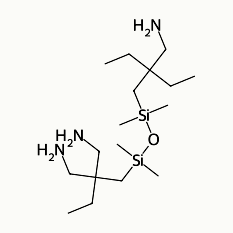 CCC(CC)(CN)C[Si](C)(C)O[Si](C)(C)CC(CC)(CN)CN